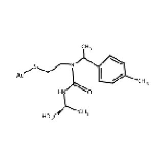 CC(=O)SCCN(C(=O)N[C@@H](C)C(=O)O)C(C)c1ccc(C)cc1